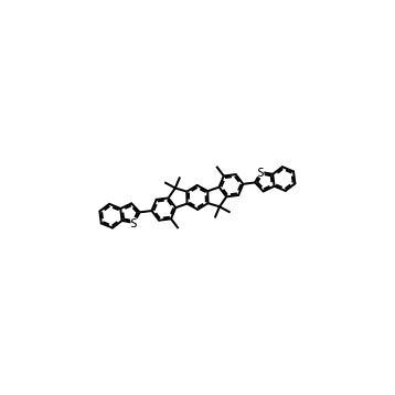 Cc1cc(-c2cc3ccccc3s2)cc2c1-c1cc3c(cc1C2(C)C)-c1c(C)cc(-c2cc4ccccc4s2)cc1C3(C)C